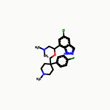 CN(C)CC(OCC1(c2ccc(F)cc2)CCN(C)CC1)c1cc(Cl)cc2cn[nH]c12